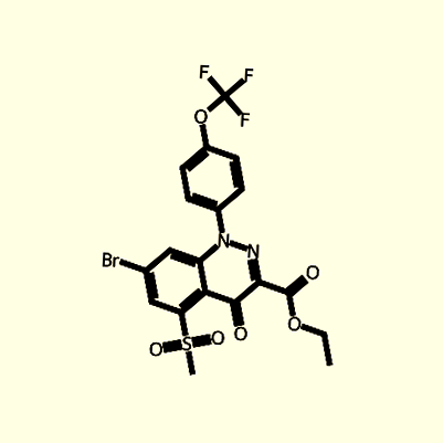 CCOC(=O)c1nn(-c2ccc(OC(F)(F)F)cc2)c2cc(Br)cc(S(C)(=O)=O)c2c1=O